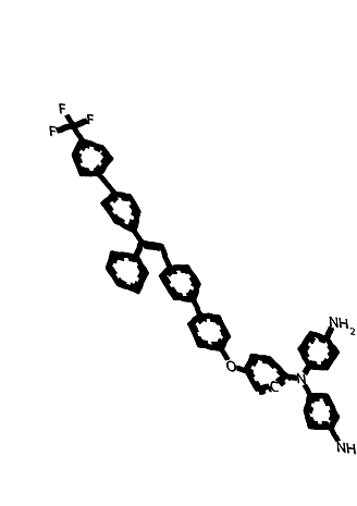 Nc1ccc(N(c2ccc(N)cc2)c2ccc(Oc3ccc(-c4ccc(/C=C(\c5ccccc5)c5ccc(-c6ccc(C(F)(F)F)cc6)cc5)cc4)cc3)cc2)cc1